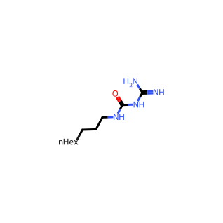 CCCCCCCCCNC(=O)NC(=N)N